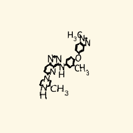 Cc1cc(Nc2ncnc3ccc(N4CCN[C@@H](C)C4)nc23)ccc1Oc1ccc2c(c1)ncn2C